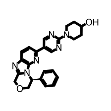 OC1CCN(c2ncc(-c3ccc4nc5n(c4n3)[C@@H](c3ccccc3)COC5)cn2)CC1